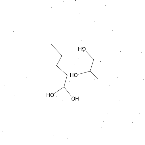 CC(O)CO.CCCCC(O)O